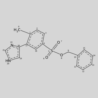 Cc1ccc(S(=O)(=O)OCc2ccccc2)cc1-c1c[nH]cn1